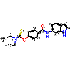 CCN(CC)C(=S)Oc1ccc(C(=O)Nc2ccc3cc[nH]c3c2)cc1